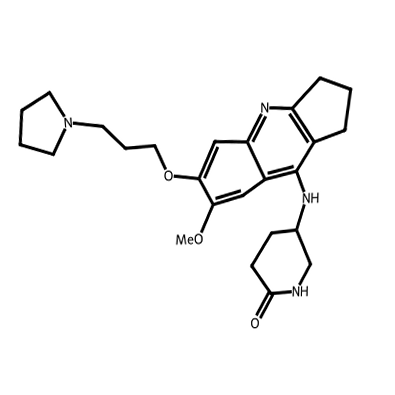 COc1cc2c(NC3CCC(=O)NC3)c3c(nc2cc1OCCCN1CCCC1)CCC3